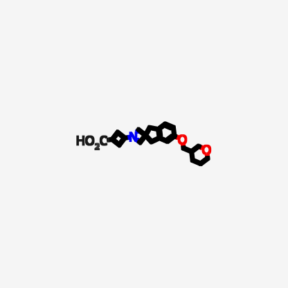 O=C(O)C1CC(N2CC3(Cc4ccc(OCC5CCCOC5)cc4C3)C2)C1